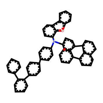 c1ccc(-c2ccccc2-c2ccc(-c3ccc(N(c4ccc(-c5cccc6cccc(-c7ccccc7)c56)cc4)c4cccc5c4oc4ccccc45)cc3)cc2)cc1